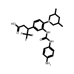 CC1CC(C)CN(c2ccc(C(CC(=O)O)C(F)(F)F)cc2NC(=O)Nc2ccc(N)cc2)C1